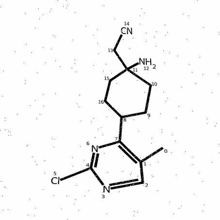 Cc1cnc(Cl)nc1C1CCC(N)(CC#N)CC1